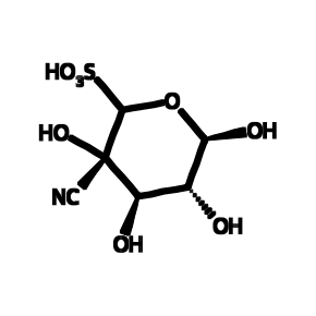 N#C[C@@]1(O)C(S(=O)(=O)O)O[C@@H](O)[C@H](O)[C@H]1O